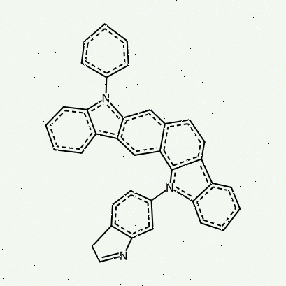 C1=Nc2cc(-n3c4ccccc4c4ccc5cc6c(cc5c43)c3ccccc3n6-c3ccccc3)ccc2C1